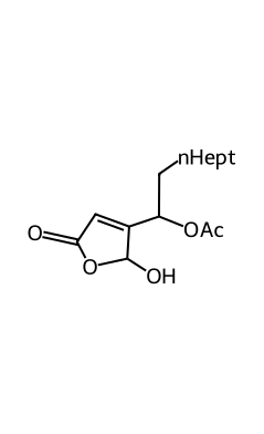 CCCCCCCCC(OC(C)=O)C1=CC(=O)OC1O